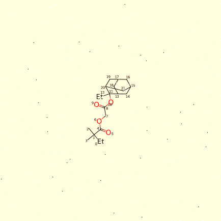 CCC(C)(C)C(=O)OCC(=O)OC1(CC)C2CC3CC(C2)CC1C3